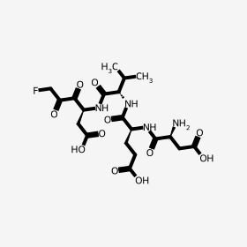 CC(C)[C@H](NC(=O)[C@H](CCC(=O)O)NC(=O)[C@@H](N)CC(=O)O)C(=O)N[C@@H](CC(=O)O)C(=O)C(=O)CF